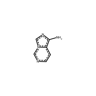 Nc1ncn2cnccc12